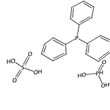 O=S(=O)(O)O.O=[PH](O)O.c1ccc(P(c2ccccc2)c2ccccc2)cc1